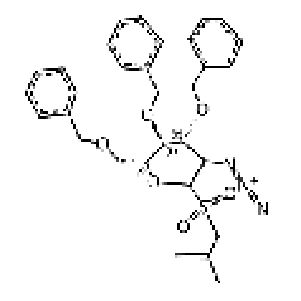 C=C(C)CS(=O)(=O)C1O[C@H](COCc2ccccc2)[C@@H](OCc2ccccc2)[C@H](OCc2ccccc2)C1N=[N+]=[N-]